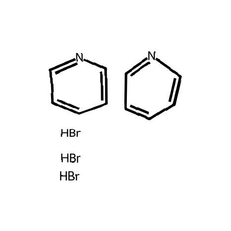 Br.Br.Br.c1ccncc1.c1ccncc1